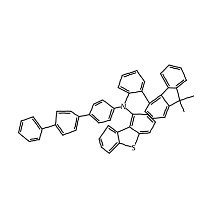 CC1(C)c2ccccc2-c2c(-c3ccccc3N(c3ccc(-c4ccc(-c5ccccc5)cc4)cc3)c3cccc4sc5ccccc5c34)cccc21